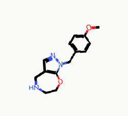 COc1ccc(Cn2ncc3c2OCCNC3)cc1